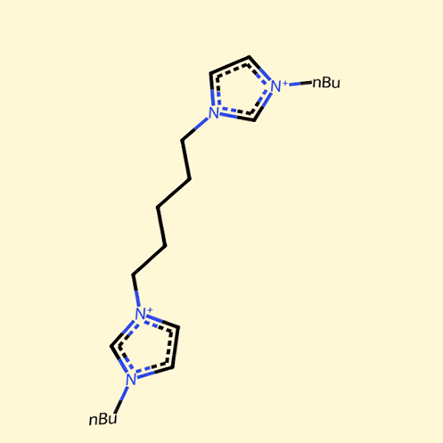 CCCCn1cc[n+](CCCCCn2cc[n+](CCCC)c2)c1